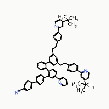 CC(C)(C)c1ccnc(-c2ccc(CCc3cc(CCc4ccc(-c5cc(C(C)(C)C)ccn5)cc4)cc(-c4ccccc4-c4ccc(-c5ccccn5)cc4-c4ccc(-c5ccc(C#N)cc5)cc4)c3)cc2)c1